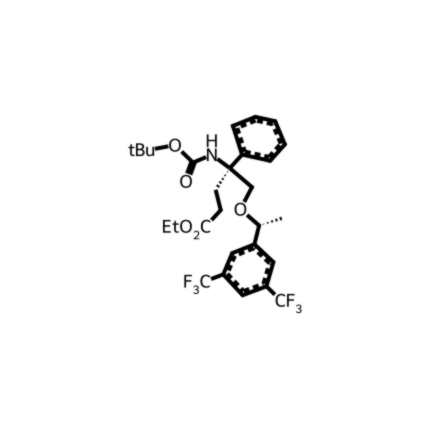 CCOC(=O)CC[C@](CO[C@H](C)c1cc(C(F)(F)F)cc(C(F)(F)F)c1)(NC(=O)OC(C)(C)C)c1ccccc1